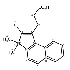 CC1=C(CCC(=O)O)c2c(ccc3ccccc23)[N+]1(C)C